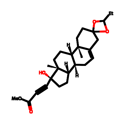 CCC1OC2(CC[C@@]3(C)C(=CC[C@@H]4[C@@H]3CC[C@@]3(C)[C@H]4CC[C@@]3(O)C#CC(=O)OC)C2)O1